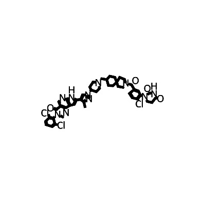 Cc1nn(C2CCN(CC3CCC4(CC3)CCN(C(=O)c3ccc(Cl)c(N5CCC(=O)NC5=O)c3)CC4)CC2)cc1-c1cc2c(ncc3c(=O)n(-c4c(Cl)cccc4Cl)cnc32)[nH]1